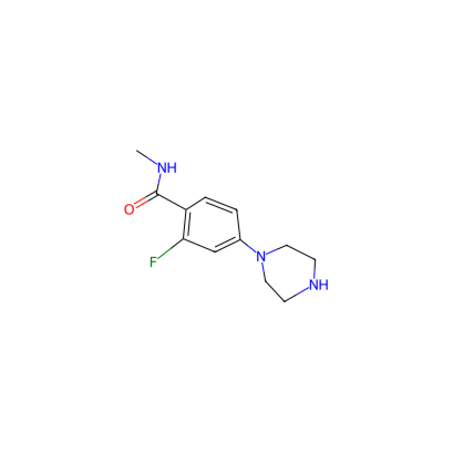 CNC(=O)c1ccc(N2CCNCC2)cc1F